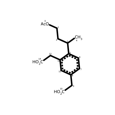 CC(=O)OCCC(C)c1ccc(CC(=O)O)cc1CC(=O)O